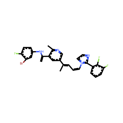 C=C(Nc1ccc(F)c(Br)c1)c1cc(/C(C)=C/C=C\n2ccnc2-c2cccc(F)c2F)cnc1C